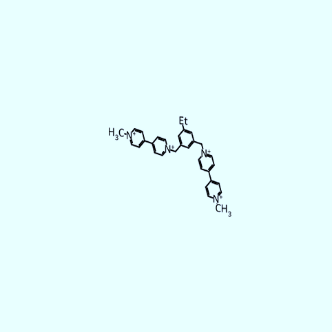 CCc1cc(C[n+]2ccc(-c3cc[n+](C)cc3)cc2)cc(C[n+]2ccc(-c3cc[n+](C)cc3)cc2)c1